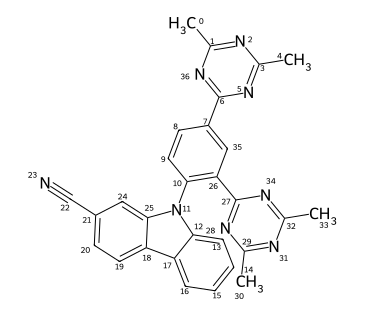 Cc1nc(C)nc(-c2ccc(-n3c4ccccc4c4ccc(C#N)cc43)c(-c3nc(C)nc(C)n3)c2)n1